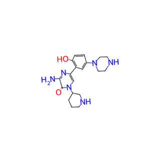 Nc1nc(-c2cc(N3CCNCC3)ccc2O)cn(C2CCCNC2)c1=O